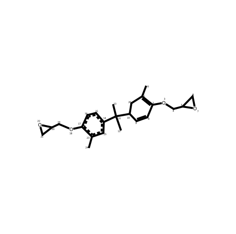 CC1=C(OCC2CO2)C=CC(C(C)(C)c2ccc(OCC3CO3)c(C)c2)C1